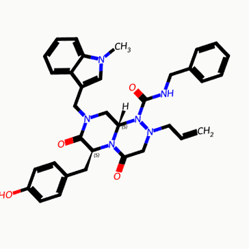 C=CCN1CC(=O)N2[C@@H](Cc3ccc(O)cc3)C(=O)N(Cc3cn(C)c4ccccc34)C[C@@H]2N1C(=O)NCc1ccccc1